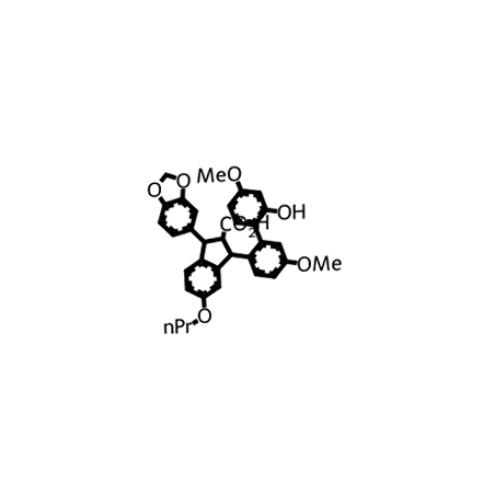 CCCOc1ccc2c(c1)C(c1ccc(OC)cc1-c1ccc(OC)cc1O)C(C(=O)O)C2c1ccc2c(c1)OCO2